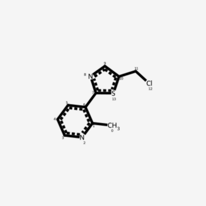 Cc1ncccc1-c1ncc(CCl)s1